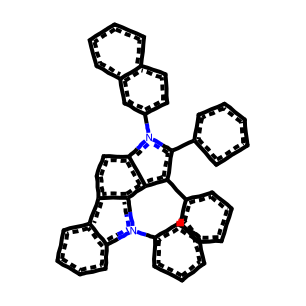 c1ccc(-c2c(-c3ccccc3)n(-c3ccc4ccccc4c3)c3ccc4c5ccccc5n(-c5ccccc5)c4c23)cc1